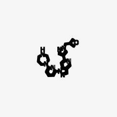 c1cc(N2CCCNCC2)nc(-n2ncc3cnc(-c4cnn(CC5COC5)c4)cc32)c1